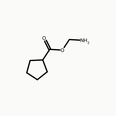 NCOC(=O)C1CCCC1